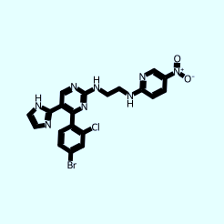 O=[N+]([O-])c1ccc(NCCNc2ncc(-c3ncc[nH]3)c(-c3ccc(Br)cc3Cl)n2)nc1